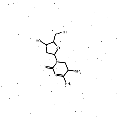 NC1=NC(=O)N(C2CC(O)C(CO)O2)CC1N